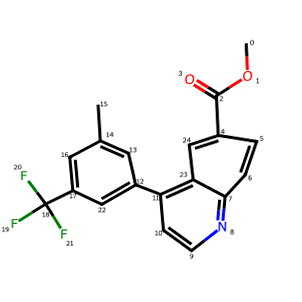 COC(=O)c1ccc2nccc(-c3cc(C)cc(C(F)(F)F)c3)c2c1